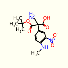 CNc1ccc(C(CN)(C(=O)O)C(=O)OC(C)(C)C)cc1[N+](=O)[O-]